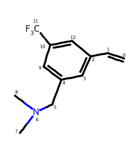 C=Cc1cc(CN(C)C)cc(C(F)(F)F)c1